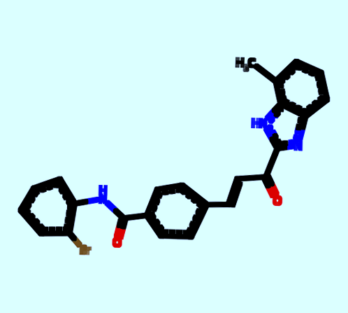 Cc1cccc2nc(C(=O)C=Cc3ccc(C(=O)Nc4ccccc4Br)cc3)[nH]c12